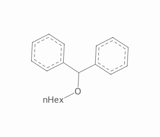 [CH2]CCCCCOC(c1ccccc1)c1ccccc1